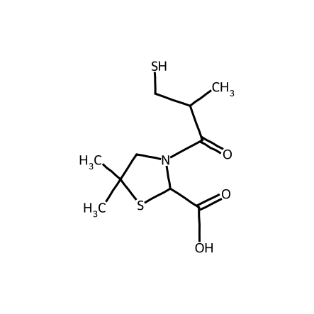 CC(CS)C(=O)N1CC(C)(C)SC1C(=O)O